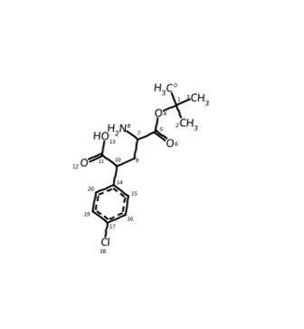 CC(C)(C)OC(=O)C(N)CC(C(=O)O)c1ccc(Cl)cc1